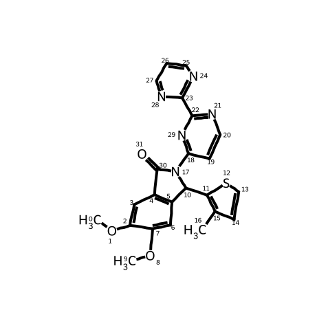 COc1cc2c(cc1OC)C(c1sccc1C)N(c1ccnc(-c3ncccn3)n1)C2=O